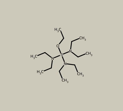 CC[O][Ti]([N](CC)CC)([N](CC)CC)[N](CC)CC